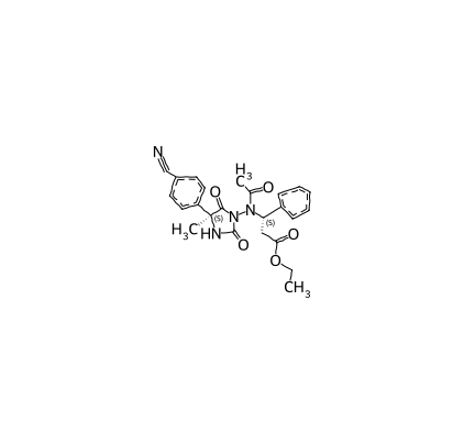 CCOC(=O)C[C@@H](c1ccccc1)N(C(C)=O)N1C(=O)N[C@@](C)(c2ccc(C#N)cc2)C1=O